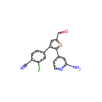 N#Cc1ccc(-c2cc(C=O)sc2-c2ccnc(N)c2)cc1F